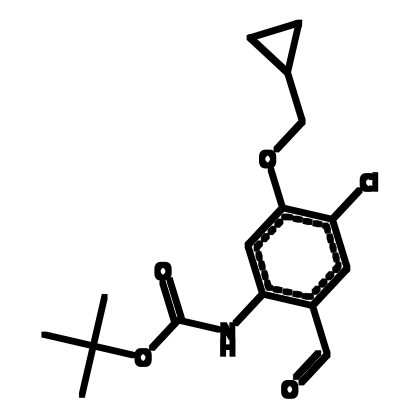 CC(C)(C)OC(=O)Nc1cc(OCC2CC2)c(Cl)cc1C=O